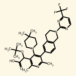 Cc1nc(C)c(C(OC(C)(C)C)C(=O)O)c(N2CCC(C)(C)CC2)c1-c1ccc2c(c1)CCN(c1nccc(C(F)(F)F)n1)C2